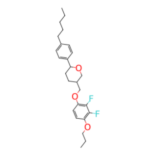 CCCCCc1ccc(C2CCC(COc3ccc(OCCC)c(F)c3F)CO2)cc1